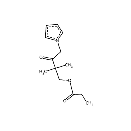 CCC(=O)OCC(C)(C)C(=O)Cn1cccc1